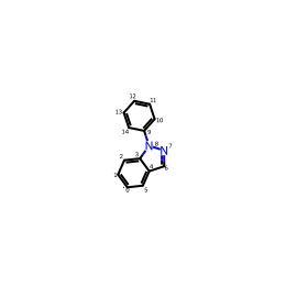 [c]1ccc2c(c1)cnn2-c1ccccc1